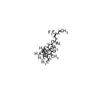 C=CC/C(=C\C[C@H](OC(=O)C[C@H](C)C(C)(C)C(=O)[C@H](C)[C@@H](O[Si](C)(C)C(C)(C)C)[C@@H](C)C=C)C(C)=O)C(F)(F)F